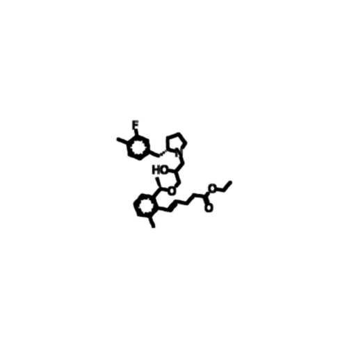 CCOC(=O)CC/C=C/c1c(C)cccc1[C@@H](C)OCC(O)CN1CCC[C@H]1Cc1ccc(C)c(F)c1